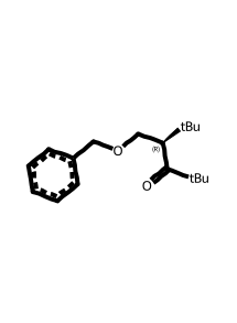 CC(C)(C)C(=O)[C@@H](COCc1ccccc1)C(C)(C)C